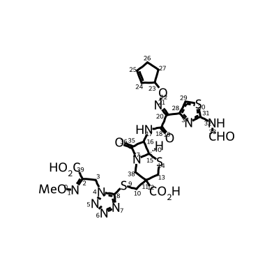 CON=C(Cn1nnnc1SCC1(C(=O)O)CS[C@@H]2C(NC(=O)C(=NOC3C=CCC3)c3csc(NC=O)n3)C(=O)N2C1)C(=O)O